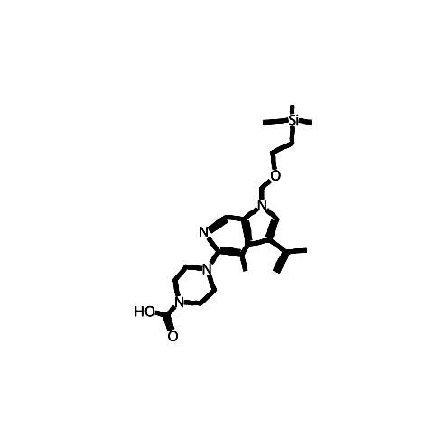 C=C(C)c1cn(COCC[Si](C)(C)C)c2cnc(N3CCN(C(=O)O)CC3)c(C)c12